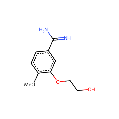 COc1ccc(C(=N)N)cc1OCCO